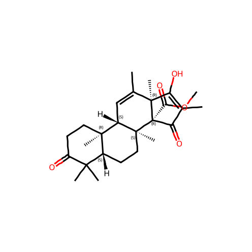 COC(=O)[C@@]12C(=O)C(C)=C(O)[C@]1(C)C(C)=C[C@H]1[C@]3(C)CCC(=O)C(C)(C)[C@H]3CC[C@@]12C